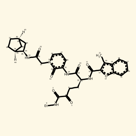 CCNC(=O)C(=O)CC[C@H](NC(=O)c1oc2ccccc2c1C)C(=O)Nc1cccn(CC(=O)N[C@@H]2C[C@@H]3CC[C@H]2C3)c1=O